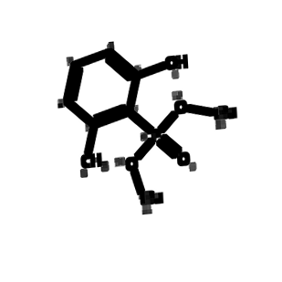 Cc1cccc(O)c1P(=O)(OC(C)(C)C)OC(C)(C)C